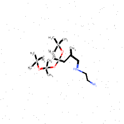 CC(CNCCN)C[Si](C)(O[Si](C)(C)C)O[Si](C)(C)O[Si](C)(C)C